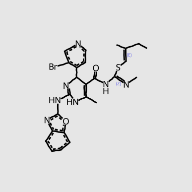 CC/C(C)=C/S/C(=N\C)NC(=O)C1=C(C)NC(Nc2nc3ccccc3o2)=NC1c1ccncc1Br